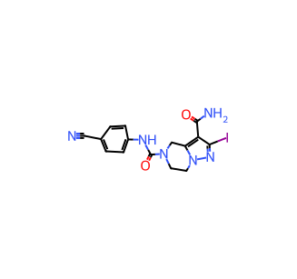 N#Cc1ccc(NC(=O)N2CCn3nc(I)c(C(N)=O)c3C2)cc1